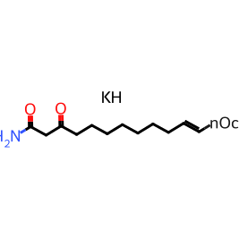 CCCCCCCCC=CCCCCCCCC(=O)CC(N)=O.[KH]